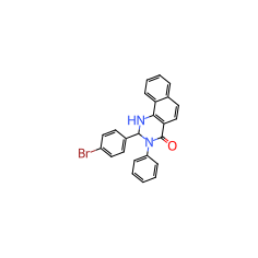 O=C1c2ccc3ccccc3c2NC(c2ccc(Br)cc2)N1c1ccccc1